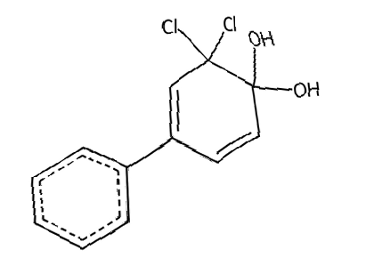 OC1(O)C=CC(c2ccccc2)=CC1(Cl)Cl